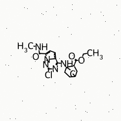 CCOC(=O)C1CC2CCC1(Nc1nc(Cl)nn3c(C(=O)NC)ccc13)CC2